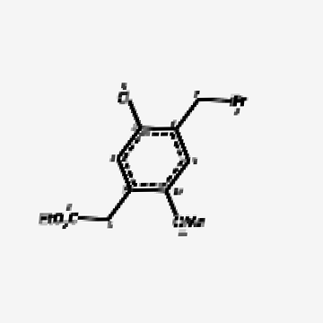 CCOC(=O)Cc1cc(Cl)c(CC(C)C)cc1OC